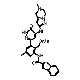 COCc1c(NC(=O)c2cc3ccccc3s2)cc(C)cc1-c1cc(Nc2cc3n(n2)CCN(C)C3)c(=O)[nH]n1